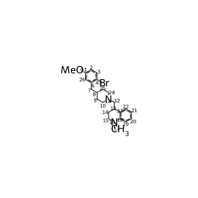 COc1ccc(Br)c(CC2CCN(CC3CCN(C)c4ccccc43)CC2)c1